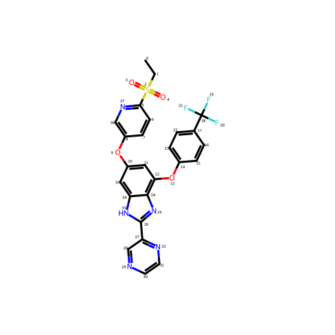 CCS(=O)(=O)c1ccc(Oc2cc(Oc3ccc(C(F)(F)F)cc3)c3nc(-c4cnccn4)[nH]c3c2)cn1